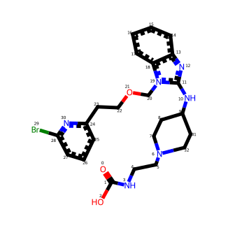 O=C(O)NCCN1CCC(Nc2nc3ccccc3n2COCCc2cccc(Br)n2)CC1